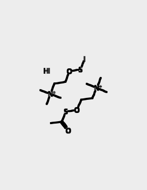 CC(=O)SOCC[N+](C)(C)C.C[N+](C)(C)CCOSI.I